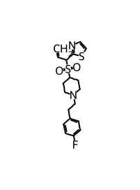 C=CC(c1nccs1)S(=O)(=O)C1CCN(CCc2ccc(F)cc2)CC1